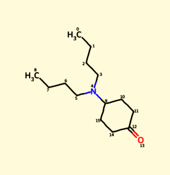 CCCCN(CCCC)C1CCC(=O)CC1